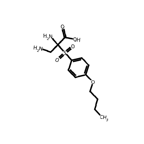 CCCCOc1ccc(S(=O)(=O)C(N)(CN)C(=O)O)cc1